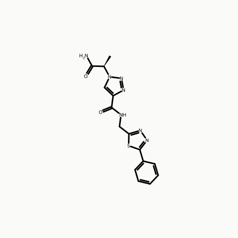 C[C@H](C(N)=O)n1cc(C(=O)NCc2nnc(-c3ccccc3)s2)nn1